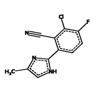 Cc1c[nH]c(-c2ccc(F)c(Cl)c2C#N)n1